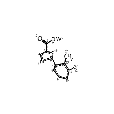 COC(=O)c1cnc(-c2cccc(Br)c2C)s1